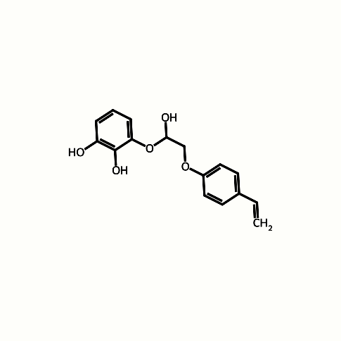 C=Cc1ccc(OCC(O)Oc2cccc(O)c2O)cc1